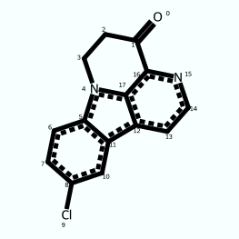 O=C1CCn2c3ccc(Cl)cc3c3ccnc1c32